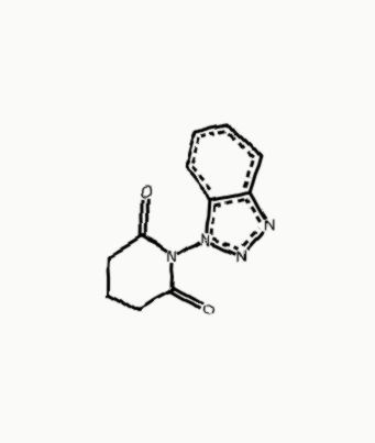 O=C1CCCC(=O)N1n1nnc2ccccc21